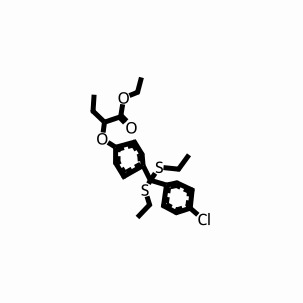 CCOC(=O)C(CC)Oc1ccc(C(SCC)(SCC)c2ccc(Cl)cc2)cc1